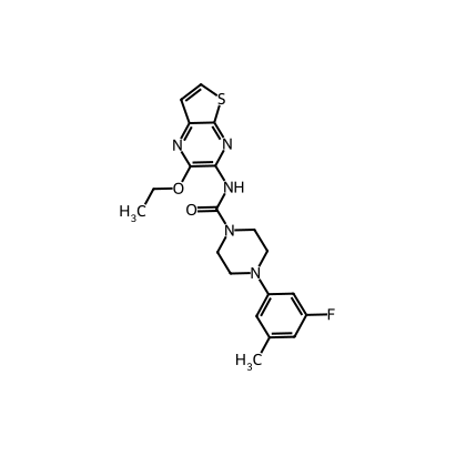 CCOc1nc2ccsc2nc1NC(=O)N1CCN(c2cc(C)cc(F)c2)CC1